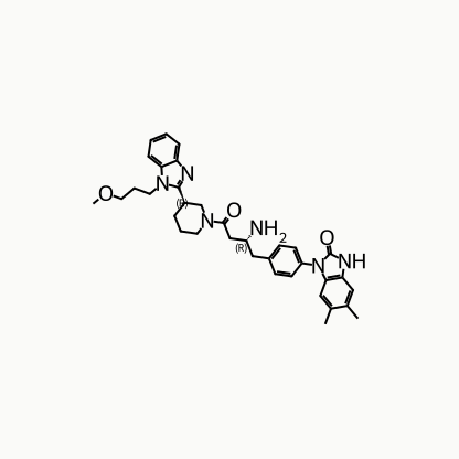 COCCCn1c([C@@H]2CCCN(C(=O)C[C@H](N)Cc3ccc(-n4c(=O)[nH]c5cc(C)c(C)cc54)cc3)C2)nc2ccccc21